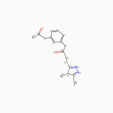 CCC(=O)Cc1cccc(CC(=O)CSC2=NN=C(C(C)C)C2CC)c1